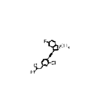 CC(C)C(=O)Cc1ccc(C#Cc2cn(C)c3ccc(F)cc23)c(Cl)c1